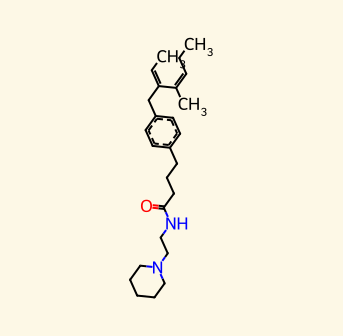 C/C=C(Cc1ccc(CCCC(=O)NCCN2CCCCC2)cc1)\C(C)=C/CC